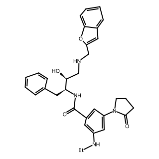 CCNc1cc(C(=O)N[C@@H](Cc2ccccc2)[C@@H](O)CNCc2cc3ccccc3o2)cc(N2CCCC2=O)c1